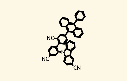 N#Cc1ccc(-c2ccc(-c3c4ccccc4c(-c4ccccc4)c4ccccc34)cc2C#N)c(-n2c3ccccc3c3cc(C#N)ccc32)c1